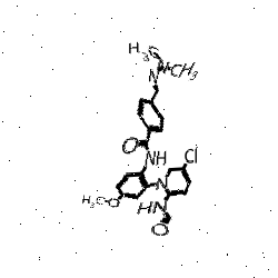 COc1ccc(NC(=O)c2ccc(C=NN(C)C)cc2)c(N2CC(Cl)=CC=C2NC=O)c1